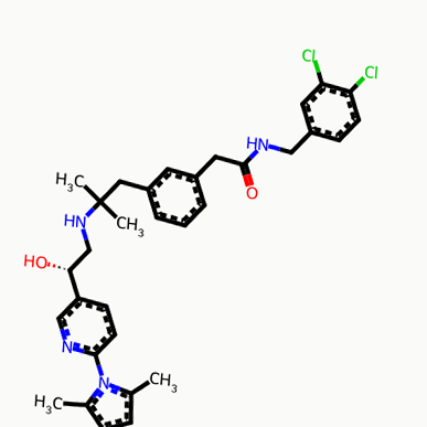 Cc1ccc(C)n1-c1ccc([C@H](O)CNC(C)(C)Cc2cccc(CC(=O)NCc3ccc(Cl)c(Cl)c3)c2)cn1